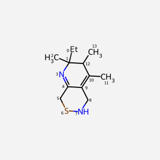 CCC1(C)N=C2CSNCC2=C(C)C1C